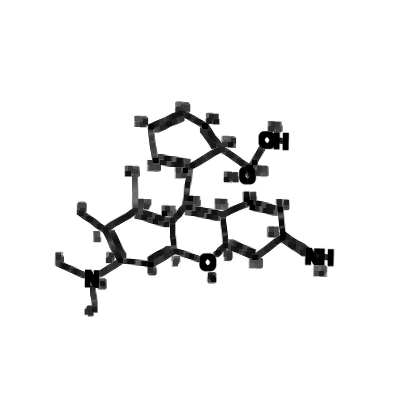 Cc1c(N(C)C)cc2oc3cc(=N)ccc-3c(-c3ccccc3C(=O)O)c2c1C